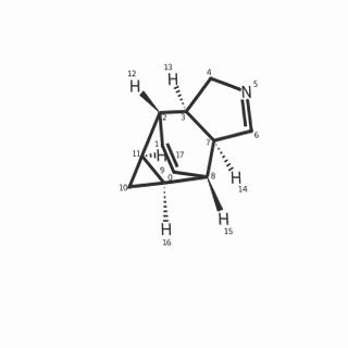 C1=C[C@H]2[C@H]3CN=C[C@H]3[C@@H]1[C@H]1C[C@@H]21